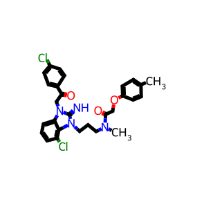 Cc1ccc(OCC(=O)N(C)CCCn2c(=N)n(CC(=O)c3ccc(Cl)cc3)c3cccc(Cl)c32)cc1